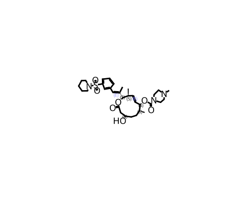 C/C(=C\c1cccc(S(=O)(=O)N2CCCCC2)c1)[C@H]1OC(=O)C[C@H](O)CC[C@H](C)[C@H](OC(=O)N2CCN(C)CC2)/C=C/[C@@H]1C